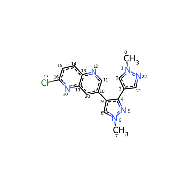 Cn1cc(-c2nn(C)cc2-c2cnc3ccc(Cl)nc3c2)cn1